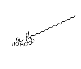 CCCCCCCCCCCCCCCCCCCCCC(=O)N[C@@H](CCC(=O)O)C(=O)O